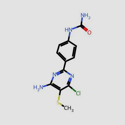 CSc1c(N)nc(-c2ccc(NC(N)=O)cc2)nc1Cl